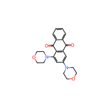 O=C1c2ccccc2C(=O)c2c1cc(N1CCOCC1)cc2N1CCOCC1